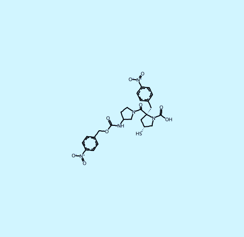 O=C(NC1CCN(C(=O)[C@]2(Cc3ccc([N+](=O)[O-])cc3)C[C@@H](S)CN2C(=O)O)C1)OCc1ccc([N+](=O)[O-])cc1